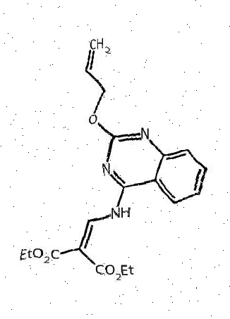 C=CCOc1nc(NC=C(C(=O)OCC)C(=O)OCC)c2ccccc2n1